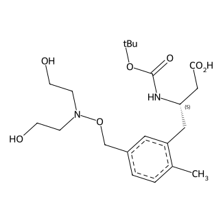 Cc1ccc(CON(CCO)CCO)cc1C[C@@H](CC(=O)O)NC(=O)OC(C)(C)C